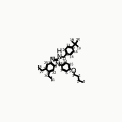 CCCCOc1ccc(-n2c(NCc3ccc(C(C)(C)C)cc3)nc3cc(CI)c(CI)cc32)cc1